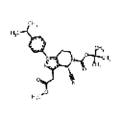 COC(=O)Cc1nn(-c2ccc(C(C)C)cc2)c2c1[C@H](C#N)N(C(=O)OC(C)(C)C)CC2